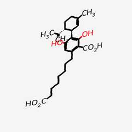 C=C(C)[C@@H]1CCC(C)=C[C@H]1c1c(O)cc(CCCCCCCC(=O)O)c(C(=O)O)c1O